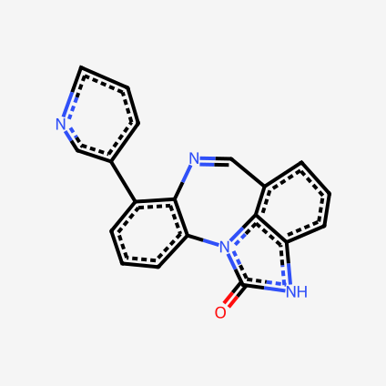 O=c1[nH]c2cccc3c2n1-c1cccc(-c2cccnc2)c1N=C3